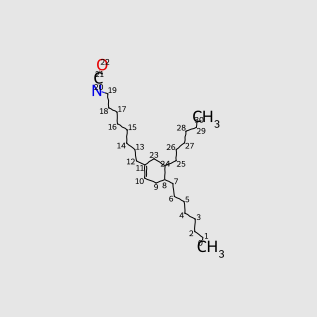 CCCCCCCCC1CC=C(CCCCCCCCN=C=O)CC1CCCCCC